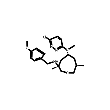 COc1ccc(CN[C@@]2(C)CCC[C@H](C)C[C@@H](N(C)c3ccc(Cl)nn3)C2)cc1